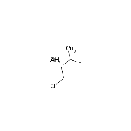 CC(Cl)CCCl.[AlH3]